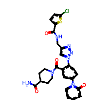 NC(=O)C1CCN(C(=O)c2cc(-n3ccccc3=O)ccc2-n2cc(CNC(=O)c3ccc(Cl)s3)nn2)CC1